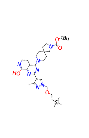 Cc1nn(COCC[Si](C)(C)C)cc1-c1nc(N2CCC3(CCN(C(=O)OC(C)(C)C)C3)CC2)c2ccnc(O)c2n1